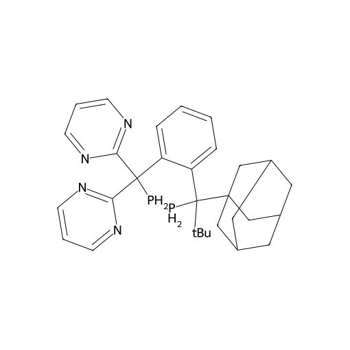 CC(C)(C)C(P)(c1ccccc1C(P)(c1ncccn1)c1ncccn1)C12CC3CC(CC(C3)C1)C2